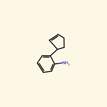 Nc1ccccc1C1C=CCC1